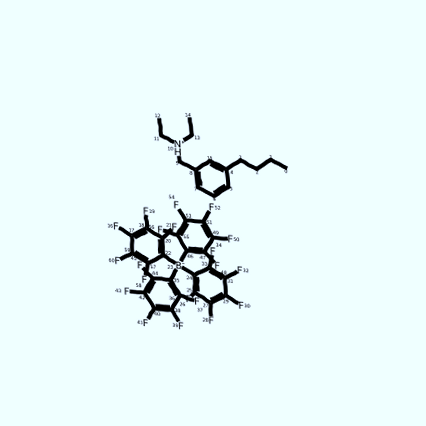 CCCCc1cccc(C[NH+](CC)CC)c1.Fc1c(F)c(F)c([B-](c2c(F)c(F)c(F)c(F)c2F)(c2c(F)c(F)c(F)c(F)c2F)c2c(F)c(F)c(F)c(F)c2F)c(F)c1F